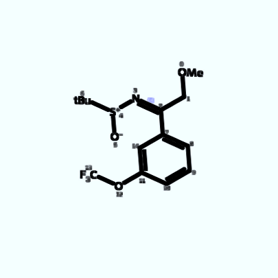 COC/C(=N/[S+]([O-])C(C)(C)C)c1cccc(OC(F)(F)F)c1